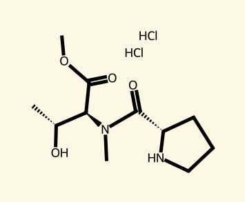 COC(=O)[C@H]([C@@H](C)O)N(C)C(=O)[C@@H]1CCCN1.Cl.Cl